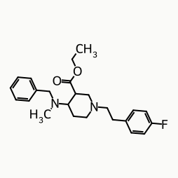 CCOC(=O)C1CN(CCc2ccc(F)cc2)CCC1N(C)Cc1ccccc1